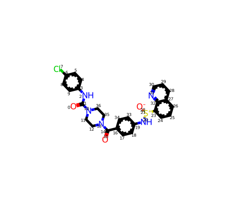 O=C(Nc1ccc(Cl)cc1)N1CCN(C(=O)c2ccc(N[S+]([O-])c3cccc4cccnc34)cc2)CC1